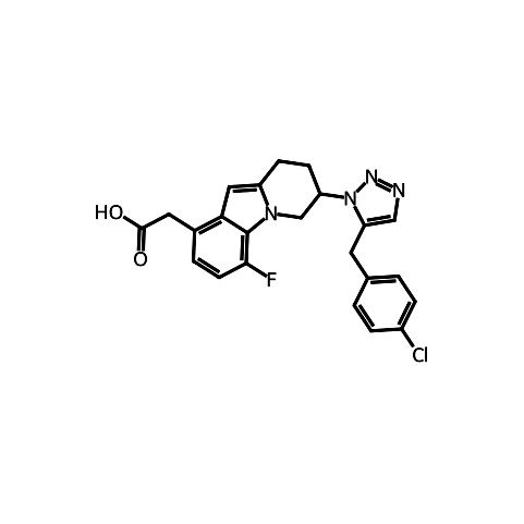 O=C(O)Cc1ccc(F)c2c1cc1n2CC(n2nncc2Cc2ccc(Cl)cc2)CC1